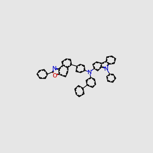 c1ccc(-c2cccc(N(c3ccc(-c4cccc5c4ccc4oc(-c6ccccc6)nc45)cc3)c3ccc4c5ccccc5n(-c5ccccc5)c4c3)c2)cc1